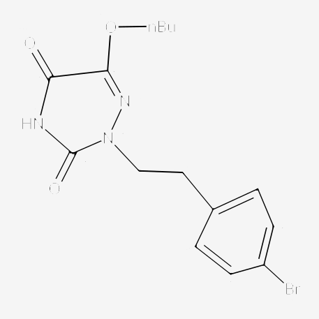 CCCCOc1nn(CCc2ccc(Br)cc2)c(=O)[nH]c1=O